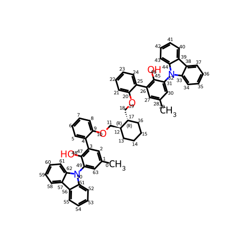 Cc1cc(-c2ccccc2OC[C@@H]2CCCC[C@H]2COc2ccccc2-c2cc(C)cc(-n3c4ccccc4c4ccccc43)c2O)c(O)c(-n2c3ccccc3c3ccccc32)c1